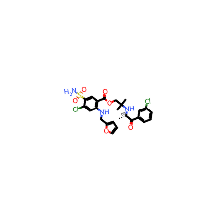 C[C@H](NC(C)(C)COC(=O)c1cc(S(N)(=O)=O)c(Cl)cc1NCc1ccco1)C(=O)c1cccc(Cl)c1